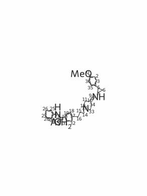 COc1ccc(C2CC2NCC2CCN(CCCc3ccc(C(=O)Nc4ccccc4[AsH2])cc3)CC2)cc1